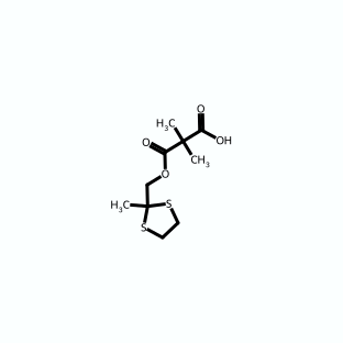 CC1(COC(=O)C(C)(C)C(=O)O)SCCS1